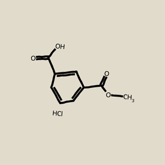 COC(=O)c1cccc(C(=O)O)c1.Cl